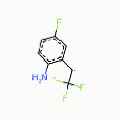 Nc1ccc(F)cc1[CH]C(F)(F)F